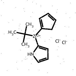 C[C](C)(C)[Zr+2]([C]1=CC=CC1)[c]1ccc[nH]1.[Cl-].[Cl-]